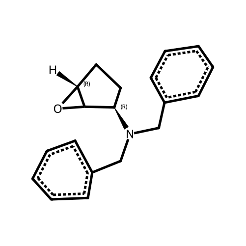 c1ccc(CN(Cc2ccccc2)[C@@H]2CC[C@H]3OC23)cc1